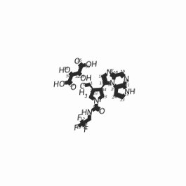 CC[C@@H]1CN(C(=O)NCC(F)(F)F)C[C@@H]1c1cnc2cnc3[nH]ccc3n12.O=C(O)C(O)C(O)C(=O)O